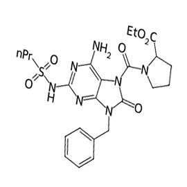 CCCS(=O)(=O)Nc1nc(N)c2c(n1)n(Cc1ccccc1)c(=O)n2C(=O)N1CCCC1C(=O)OCC